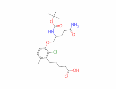 Cc1ccc(OCC(CCC(N)=O)NC(=O)OC(C)(C)C)c(Cl)c1CCCCC(=O)O